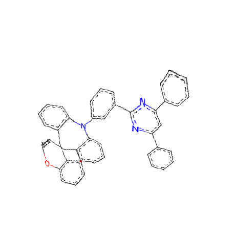 c1ccc(-c2cc(-c3ccccc3)nc(-c3cccc(N4c5ccccc5C5(c6ccccc6Oc6ccccc65)c5ccccc54)c3)n2)cc1